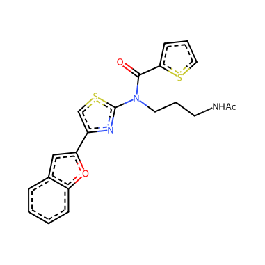 CC(=O)NCCCN(C(=O)c1cccs1)c1nc(-c2cc3ccccc3o2)cs1